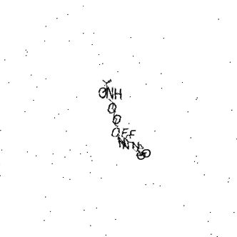 C=C(C)C(=O)NCCOCCOCCOCCn1nnc(CN2CCS(=O)(=O)CC2)c1C(F)F